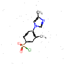 Cc1cn(-c2ccc(S(=O)(=O)Cl)cc2C)cn1